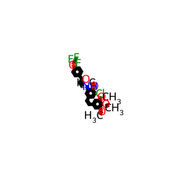 COc1cc(/C=C\c2cc(Cl)c(OC)c(N/C=C\C(=O)c3ccc(OC(F)(F)F)cc3)c2)cc(OC)c1OC